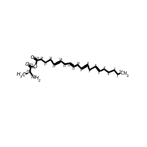 CCCCCC=CCC=CCC=CCC=CCCCC(=O)OC(=O)[C@H](C)N